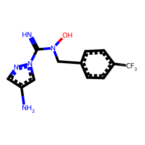 N=C(N(O)Cc1ccc(C(F)(F)F)cc1)n1cc(N)cn1